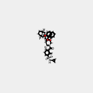 Cc1nc2ccccc2n1[C@H]1C[C@H]2CC[C@@H](C1)N2CCC1(c2ccccc2)CCN(C(=O)c2c(F)ccc(S(=O)(=O)NC3CC3)c2F)CC1